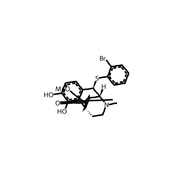 COC1=CC2[C@@H]3[C@H](Sc4ccccc4Br)c4ccc(O)c(O)c4[C@]2(CCN3C)CC1=O